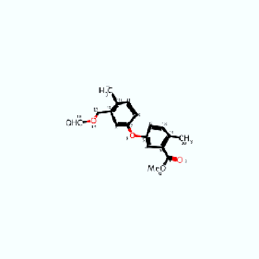 COC(=O)c1cc(Oc2ccc(C)c(COC=O)c2)ccc1C